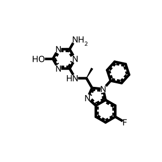 C[C@H](Nc1nc(N)nc(O)n1)c1nc2ccc(F)cc2n1-c1ccccc1